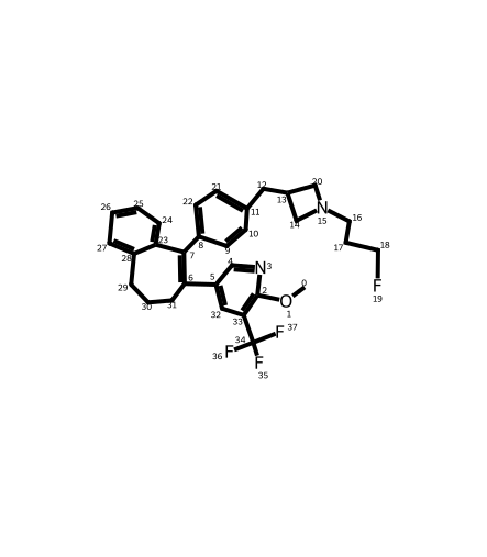 COc1ncc(C2=C(c3ccc(CC4CN(CCCF)C4)cc3)c3ccccc3CCC2)cc1C(F)(F)F